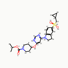 CC(C)OC(=O)N1CCC(Oc2cc(N3CCc4cc(S(=O)(=O)CC5CC5)ccc43)ncn2)CC1